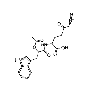 CC(=O)OC(Cc1c[nH]c2ccccc12)C(=O)NC(CCC(=O)C=[N+]=[N-])C(=O)O